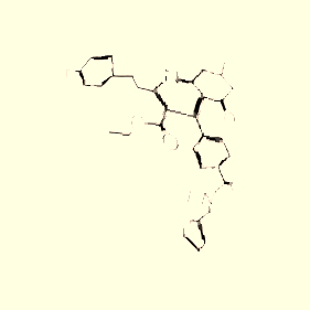 CCOC(=O)c1c(CCc2ccc(F)cc2)nc2c(c1-c1ccc(C(=O)NCc3ccco3)cc1)C(=O)CC(C)C2